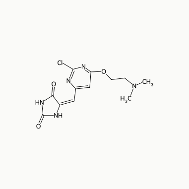 CN(C)CCOc1cc(/C=C2/NC(=O)NC2=O)nc(Cl)n1